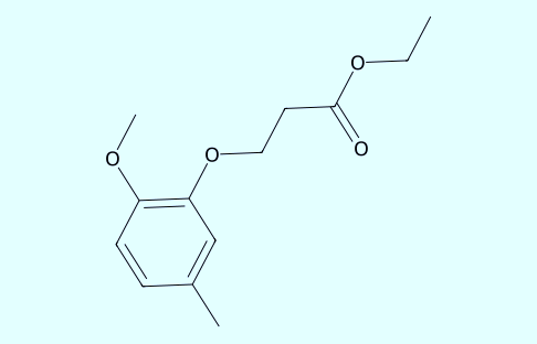 CCOC(=O)CCOc1cc(C)ccc1OC